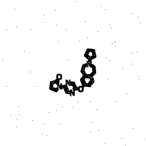 O=C1CCCN1c1cnc(Oc2ccc3c(c2)CCN(C2CCCC2)CC3)cn1